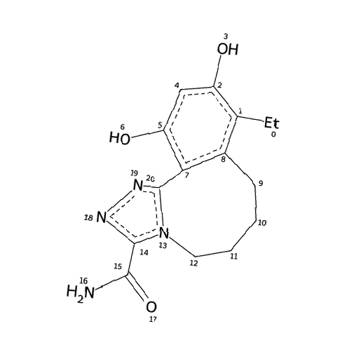 CCc1c(O)cc(O)c2c1CCCCn1c(C(N)=O)nnc1-2